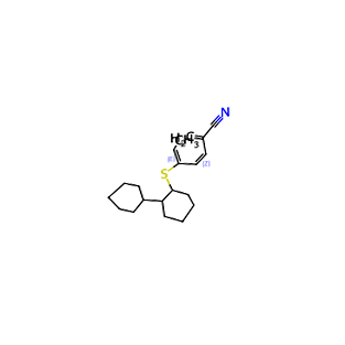 C=C(C#N)/C=C\C(=C/C)SC1CCCCC1C1CCCCC1